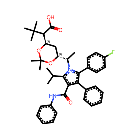 CC(C)c1c(C(=O)Nc2ccccc2)c(-c2ccccc2)c(-c2ccc(F)cc2)n1C(C)[C@H]1C[C@H](C(C(=O)O)C(C)(C)C)OC(C)(C)O1